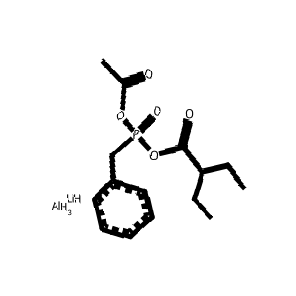 CCC(CC)C(=O)OP(=O)(Cc1ccccc1)OC(C)=O.[AlH3].[LiH]